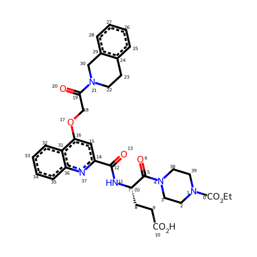 CCOC(=O)N1CCN(C(=O)[C@H](CCC(=O)O)NC(=O)c2cc(OCC(=O)N3CCc4ccccc4C3)c3ccccc3n2)CC1